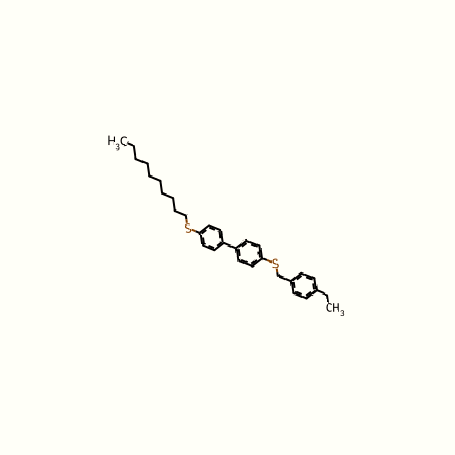 CCCCCCCCCCSc1ccc(-c2ccc(SCc3ccc(CC)cc3)cc2)cc1